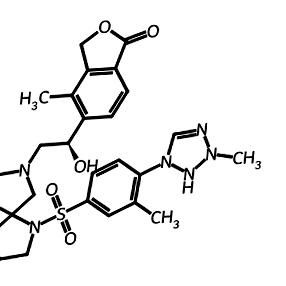 Cc1cc(S(=O)(=O)N2CCCC23CCN(C[C@H](O)c2ccc4c(c2C)COC4=O)C3)ccc1N1C=NN(C)N1